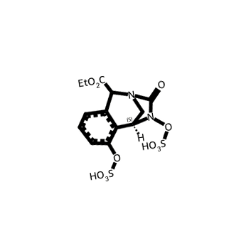 CCOC(=O)C1c2cccc(OS(=O)(=O)O)c2[C@H]2CN1C(=O)N2OS(=O)(=O)O